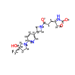 O=C1N[C@H](CCC(=O)N2CC(c3ccc(N4CCC(O)(C(F)(F)F)C4)nc3)C2)CO1